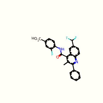 Cc1c(-c2ccccc2)nc2ccc(C(F)F)cc2c1C(=O)Nc1ccc(C(=O)O)cc1F